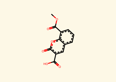 COC(=O)c1cccc2cc(C(=O)O)c(=O)oc12